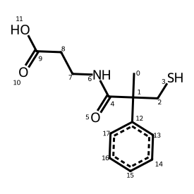 CC(CS)(C(=O)NCCC(=O)O)c1ccccc1